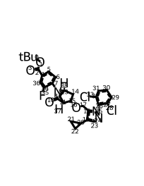 CC(C)(C)OC(=O)c1ccc(N2C(=O)[C@@H]3C[C@H]2C[C@H]3OCc2c(C3CC3)cnn2-c2c(Cl)cccc2Cl)c(F)c1